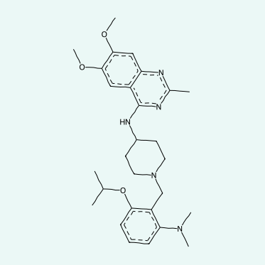 COc1cc2nc(C)nc(NC3CCN(Cc4c(OC(C)C)cccc4N(C)C)CC3)c2cc1OC